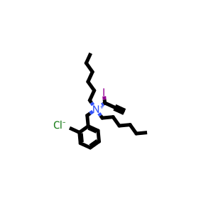 C#CC(I)[N+](CCCCCC)(CCCCCC)Cc1ccccc1C.[Cl-]